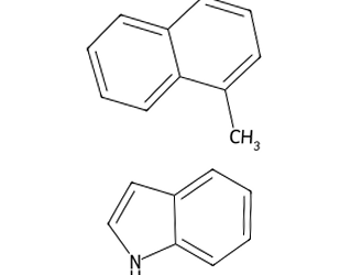 Cc1cccc2ccccc12.c1ccc2[nH]ccc2c1